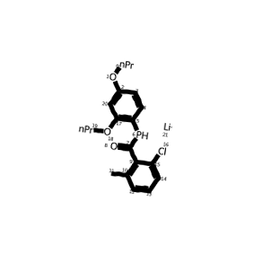 CCCOc1ccc(PC(=O)c2c(C)cccc2Cl)c(OCCC)c1.[Li]